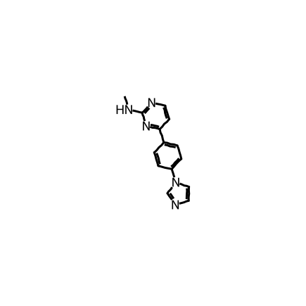 CNc1nccc(-c2ccc(-n3ccnc3)cc2)n1